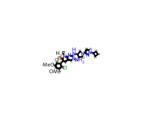 COc1cc(OC)c(Cl)c(-c2cc3cnc(NC4CN(c5ccn(C6CCC6)n5)CC4N)nc3n(C)c2=O)c1Cl